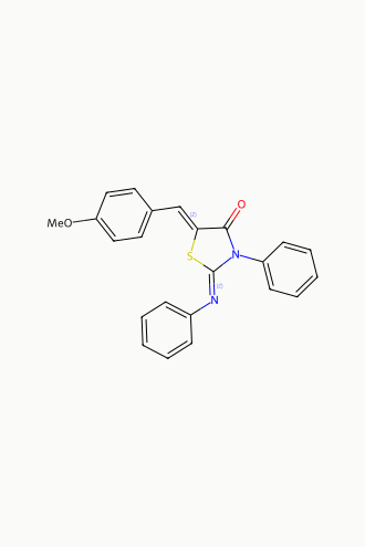 COc1ccc(/C=C2\S/C(=N\c3ccccc3)N(c3ccccc3)C2=O)cc1